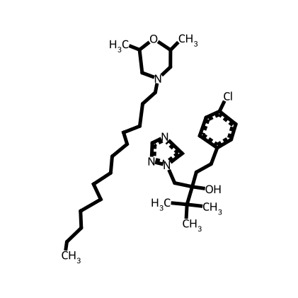 CC(C)(C)C(O)(CCc1ccc(Cl)cc1)Cn1cncn1.CCCCCCCCCCCCCN1CC(C)OC(C)C1